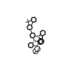 CC1(C)c2ccccc2-c2cc(-c3ccc(N4c5ccccc5C5(c6ccccc64)C4CC6CC(C4)CC5C6)c(-n4c5ccccc5c5ccccc54)c3)ccc21